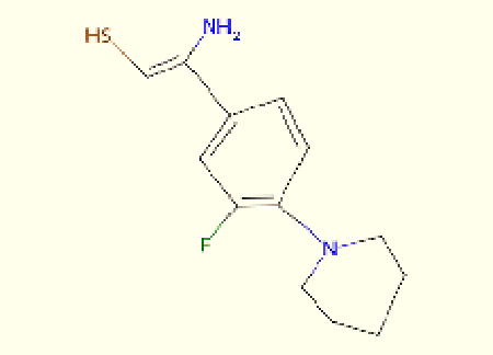 N/C(=C\S)c1ccc(N2CCCCC2)c(F)c1